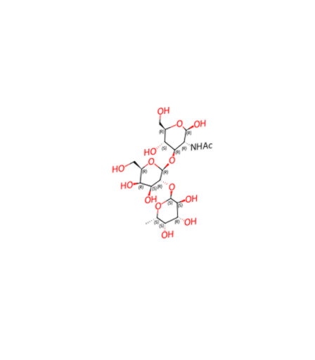 CC(=O)N[C@@H]1[C@@H](O[C@@H]2O[C@H](CO)[C@H](O)[C@H](O)[C@H]2O[C@@H]2O[C@@H](C)[C@@H](O)[C@@H](O)[C@@H]2O)[C@H](O)[C@@H](CO)O[C@H]1O